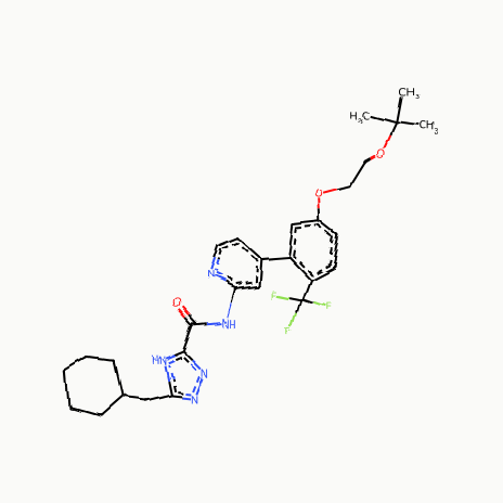 CC(C)(C)OCCOc1ccc(C(F)(F)F)c(-c2ccnc(NC(=O)c3nnc(CC4CCCCC4)[nH]3)c2)c1